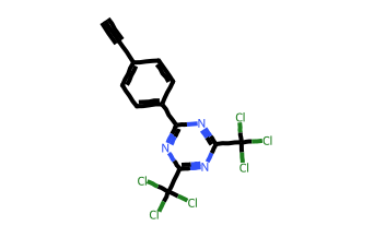 C#Cc1ccc(-c2nc(C(Cl)(Cl)Cl)nc(C(Cl)(Cl)Cl)n2)cc1